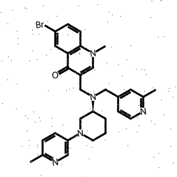 Cc1ccc(N2CCC[C@H](N(Cc3ccnc(C)c3)Cc3cn(C)c4ccc(Br)cc4c3=O)C2)cn1